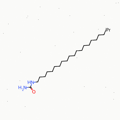 CC(C)CCCCCCCCCCCCCCCCCCCNC(N)=O